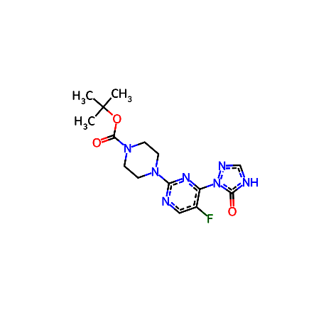 CC(C)(C)OC(=O)N1CCN(c2ncc(F)c(-n3nc[nH]c3=O)n2)CC1